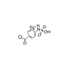 O=C([O-])c1ccc(NS(=O)(=O)O)cc1.[Ag+]